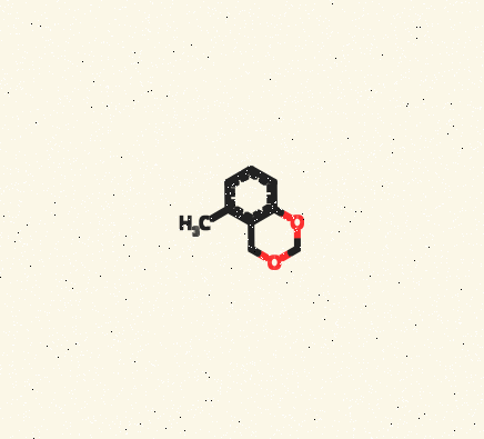 Cc1cccc2c1COCO2